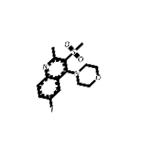 Cc1nc2ccc(I)cc2c(N2CCOCC2)c1S(C)(=O)=O